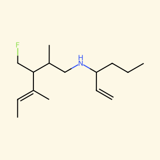 C=CC(CCC)NCC(C)C(CF)/C(C)=C/C